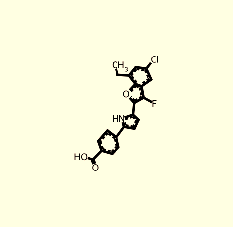 CCc1cc(Cl)cc2c(F)c(-c3ccc(-c4ccc(C(=O)O)cc4)[nH]3)oc12